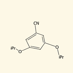 CC(C)Oc1cc(C#N)cc(OC(C)C)c1